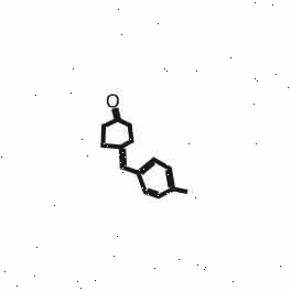 Cc1ccc(C=C2CCC(=O)CC2)cc1